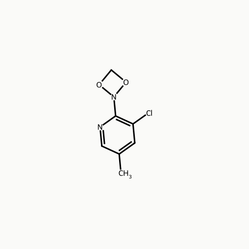 Cc1cnc(N2OCO2)c(Cl)c1